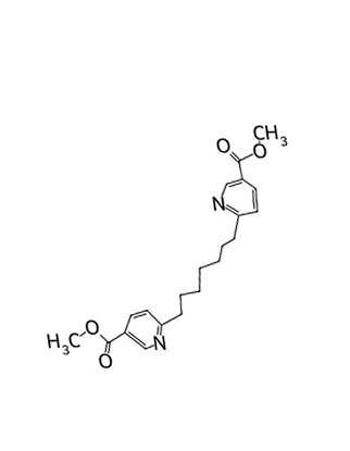 COC(=O)c1ccc(CCCCCCCc2ccc(C(=O)OC)cn2)nc1